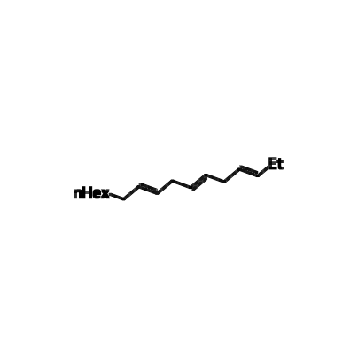 CCC=CCC=CCC=CCCCCCCC